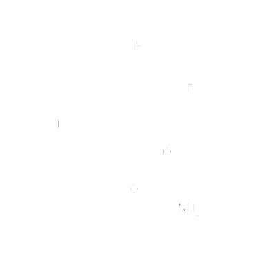 NC(=O)Oc1cc(F)c(F)c(F)c1F